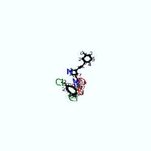 Cc1cccc(C#Cc2cncc(C(=O)N=S(C)(=O)c3cc(Cl)cc(Cl)c3)c2)c1